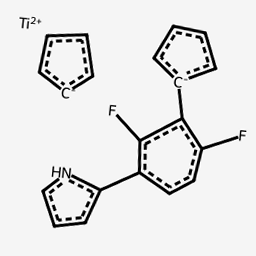 Fc1ccc(-c2ccc[nH]2)c(F)c1-[c-]1cccc1.[Ti+2].c1cc[cH-]c1